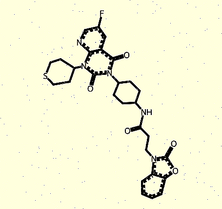 O=C(CCn1c(=O)oc2ccccc21)NC1CCC(n2c(=O)c3cc(F)cnc3n(C3CCSCC3)c2=O)CC1